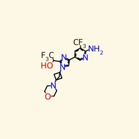 Nc1ncc(-c2cn(C34CC(N5CCOCC5)(C3)C4)c(C(O)C(F)(F)F)n2)cc1C(F)(F)F